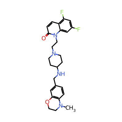 CN1CCOc2cc(CNC3CCN(CCn4c(=O)ccc5c(F)cc(F)cc54)CC3)ccc21